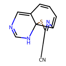 N#CC1=NC2=CC=CC3=CN=CNC32S1